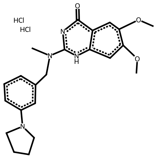 COc1cc2[nH]c(N(C)Cc3cccc(N4CCCC4)c3)nc(=O)c2cc1OC.Cl.Cl